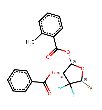 Cc1ccccc1C(=O)O[C@@H]1O[C@H](Br)C(F)(F)[C@@H]1OC(=O)c1ccccc1